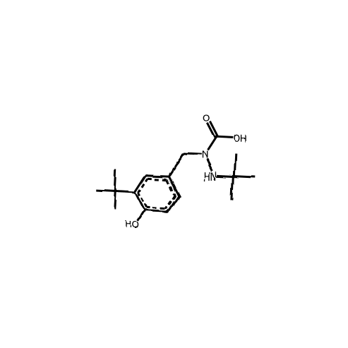 CC(C)(C)NN(Cc1ccc(O)c(C(C)(C)C)c1)C(=O)O